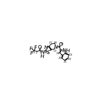 O=C(CC(F)(F)F)Nc1nc2c(s1)CN(C(=O)c1cc3ccccc3[nH]1)CC2